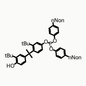 CCCCCCCCCc1ccc(OP(Oc2ccc(CCCCCCCCC)cc2)Oc2ccc(C(C)(C)c3ccc(O)c(C(C)(C)C)c3)c(C(C)(C)C)c2)cc1